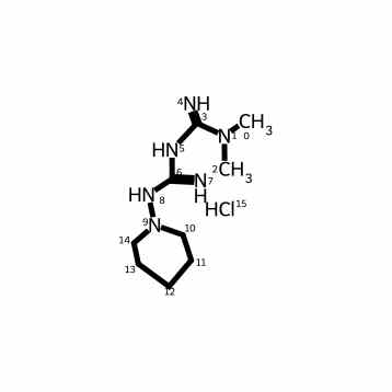 CN(C)C(=N)NC(=N)NN1CCCCC1.Cl